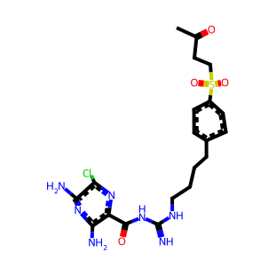 CC(=O)CCS(=O)(=O)c1ccc(CCCCNC(=N)NC(=O)c2nc(Cl)c(N)nc2N)cc1